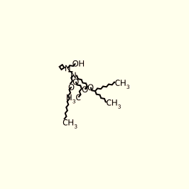 CCCCCCCCCCCCOCC(CN(CCCCCC(=O)OCC(CCCCCC)CCCCCCCC)CCN(CCO)C1CCC1)OCCCCCC